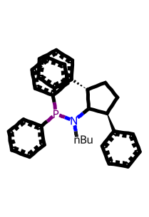 CCCCN(C1[C@H](c2ccccc2)CC[C@H]1c1ccccc1)P(c1ccccc1)c1ccccc1